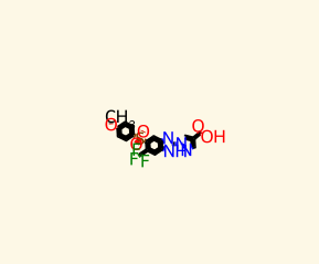 COc1ccc(S(=O)(=O)c2cc3nc(-n4cc(C(=O)O)cn4)[nH]c3cc2C(F)(F)F)cc1